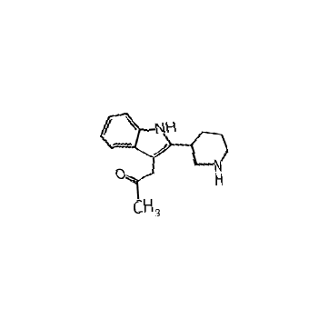 CC(=O)Cc1c(C2CCCNC2)[nH]c2ccccc12